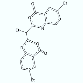 CCc1ccc2nc(C(CC)c3nc4ccc(CC)cc4c(=O)o3)oc(=O)c2c1